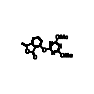 C=C1OC(=O)c2c(Oc3nc(OC)nc(OC)n3)cccc21